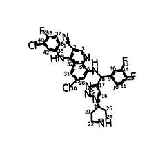 N#Cc1cnc2c(NC(c3ccc(F)c(F)c3)c3cn(C4CCNCC4)nn3)cc(Cl)cc2c1Nc1ccc(F)c(Cl)c1